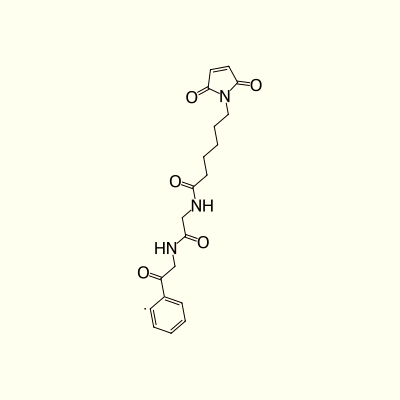 O=C(CCCCCN1C(=O)C=CC1=O)NCC(=O)NCC(=O)c1[c]cccc1